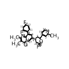 Cc1cc(C2CN(c3cc(-c4ccc(F)cc4F)c4nc(C)c(C)c(=O)n4c3)CC(F)(F)O2)ccn1